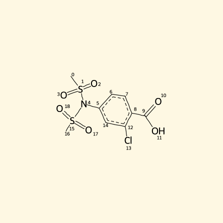 CS(=O)(=O)N(c1ccc(C(=O)O)c(Cl)c1)S(C)(=O)=O